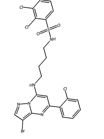 O=S(=O)(NCCCCNc1cc(-c2ccccc2Cl)nc2c(Br)cnn12)c1cccc(Cl)c1Cl